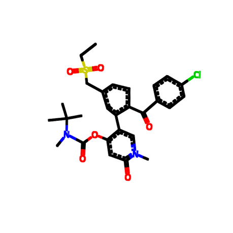 CCS(=O)(=O)Cc1ccc(C(=O)c2ccc(Cl)cc2)c(-c2cn(C)c(=O)cc2OC(=O)N(C)C(C)(C)C)c1